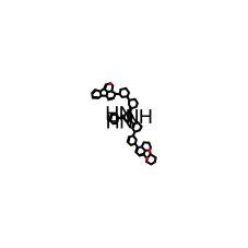 C1=CCC(C2NC(C3=CC(C4C=CCC(C5=CC=C6C7CCCCC7C7CCCC5C67)C4)CCC3)NC(C3CCCC(C4CCCC(C5C=CC6C7C=CC=CC7C7=CCCC5C76)C4)C3)N2)C=C1